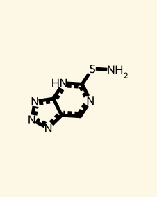 NSc1ncc2nnnc-2[nH]1